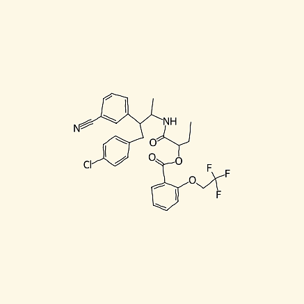 CCC(OC(=O)c1ccccc1OCC(F)(F)F)C(=O)NC(C)C(Cc1ccc(Cl)cc1)c1cccc(C#N)c1